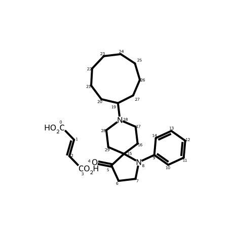 O=C(O)C=CC(=O)O.O=C1CCN(c2ccccc2)C12CCN(C1CCCCCCCC1)CC2